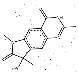 C=C1NC(C)=Nc2cc3c(cc21)N(C)C(=C)C3(C)CCC